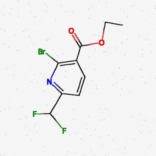 CCOC(=O)c1ccc(C(F)F)nc1Br